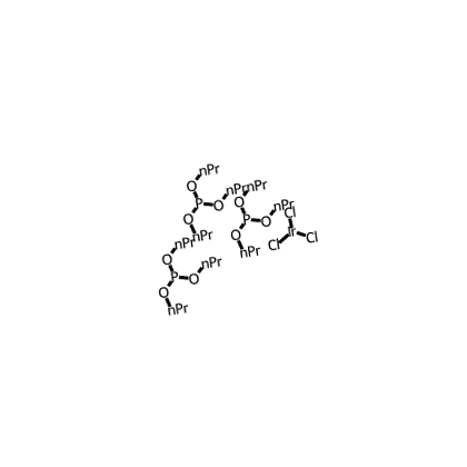 CCCOP(OCCC)OCCC.CCCOP(OCCC)OCCC.CCCOP(OCCC)OCCC.[Cl][Ir]([Cl])[Cl]